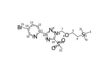 C[Si](C)(C)CCOCn1nc(-c2ccc(Br)cn2)nc1S(C)(=O)=O